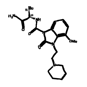 CC[C@H](C)[C@H](NC(=O)n1c(=O)n(CCN2CCCCC2)c2c(OC)cccc21)C(N)=O